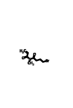 C=CC(=O)N(C)C(=O)CCCBr